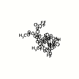 CCOC(=O)COC(=O)c1cc(Oc2ccc(C(F)(F)F)cc2Cl)ccc1[N+](=O)[O-].CCS(=O)(=O)c1cccnc1S(=O)(=O)NC(=O)Nc1nc(OC)cc(OC)n1.O=C(Nc1nc(OC(F)F)cc(OC(F)F)n1)NS(=O)(=O)c1ccccc1C(=O)O